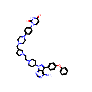 Nc1ncnc2c1c(-c1ccc(Oc3ccccc3)cc1)nn2C1CCN(CCN2CCC(CN3CCN(c4ccc(-n5ccc(=O)[nH]c5=O)cc4)CC3)C2)CC1